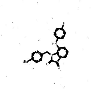 CC(C)(C)c1ccc(CN2C(=O)C(=O)c3cccc(Nc4ccc(F)cc4)c32)cc1